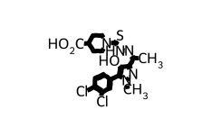 CC(=NNC(=S)N1CCC(C(=O)O)CC1)c1nn(C)c(-c2ccc(Cl)c(Cl)c2)c1O